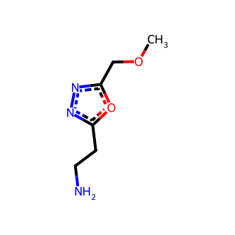 COCc1nnc(CCN)o1